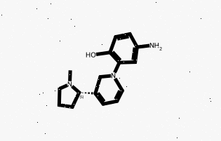 CN1CCC[C@H]1C1=CC=CN(c2cc(N)ccc2O)C1